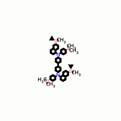 CB(C)c1ccc(N(c2ccc(-c3ccc(N(c4ccc(B(C)C)cc4)c4cccc5cc(B(C)C6CC6)ccc45)cc3)cc2)c2cccc3cc(B(C)C4CC4)ccc23)cc1